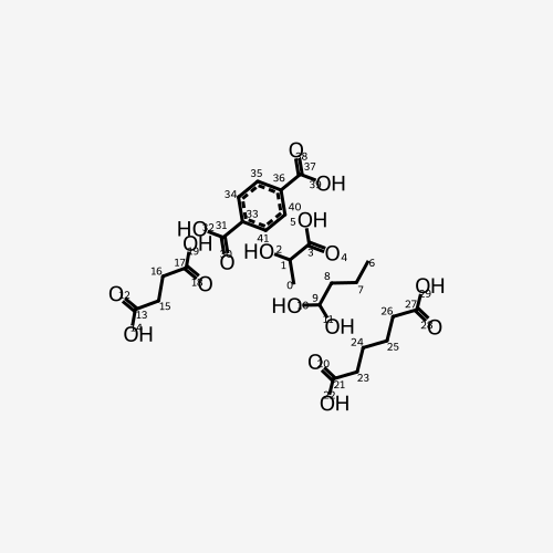 CC(O)C(=O)O.CCCC(O)O.O=C(O)CCC(=O)O.O=C(O)CCCCC(=O)O.O=C(O)c1ccc(C(=O)O)cc1